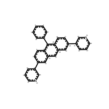 c1ccc(-c2c3ccc(-c4cccnc4)cc3cc3cc(-c4cccnc4)ccc23)cc1